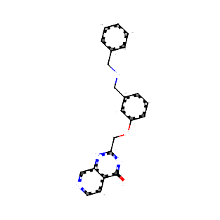 O=c1[nH]c(COc2cccc(CNCc3ccccc3)c2)nc2cnccc12